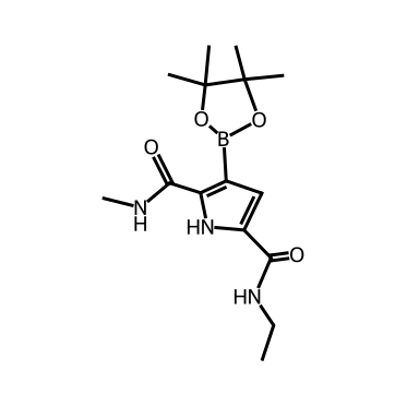 CCNC(=O)c1cc(B2OC(C)(C)C(C)(C)O2)c(C(=O)NC)[nH]1